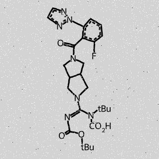 CC(C)(C)OC(=O)N=C(N1CC2CN(C(=O)c3c(F)cccc3-n3nccn3)CC2C1)N(C(=O)O)C(C)(C)C